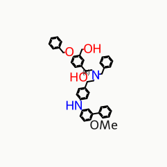 COc1ccc(Nc2ccc(CCN(Cc3ccccc3)C[C@H](O)c3ccc(OCc4ccccc4)c(CO)c3)cc2)cc1-c1ccccc1